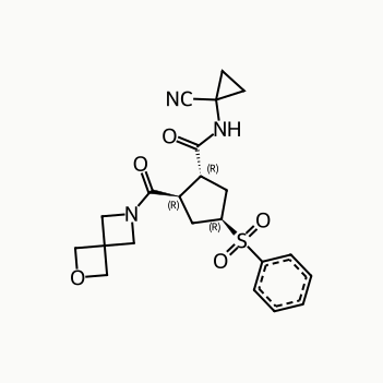 N#CC1(NC(=O)[C@@H]2C[C@@H](S(=O)(=O)c3ccccc3)C[C@H]2C(=O)N2CC3(COC3)C2)CC1